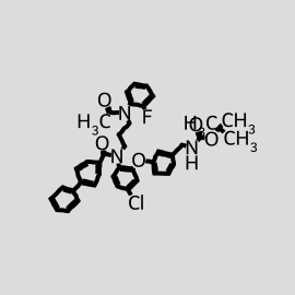 CC(=O)N(CCCN(C(=O)c1ccc(-c2ccccc2)cc1)c1ccc(Cl)cc1Oc1cccc(CNC(=O)OC(C)(C)C)c1)c1ccccc1F